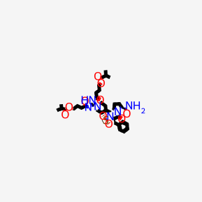 CC(C)C(=O)OCCCC(=O)N=C(NC(=O)CCCOC(=O)C(C)C)N1CCC(CN([C@H](Cc2ccccc2)C(=O)N2CCC[C@H]2C(N)=O)S(C)(=O)=O)CC1